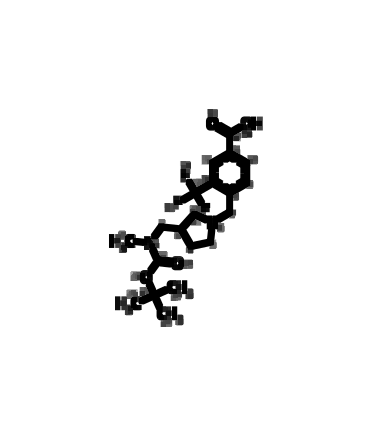 CN(CC1CCN(Cc2ccc(C(=O)O)cc2C(F)(F)F)C1)C(=O)OC(C)(C)C